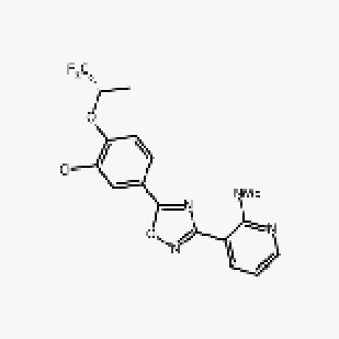 CNc1ncccc1-c1noc(-c2ccc(O[C@@H](C)C(F)(F)F)c(Cl)c2)n1